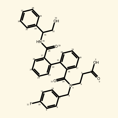 O=C(O)CCN(Cc1ccc(F)cc1)C(=O)c1ccccc1-c1ccccc1C(=O)NC(CO)c1ccccc1